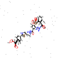 COC(=O)c1ccc(-c2ncc(CNC(=O)c3ccc4c(c3)NC(=O)c3ccccc3S4(=O)=O)s2)cc1